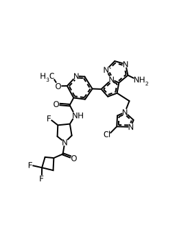 COc1ncc(-c2cc(Cn3cnc(Cl)c3)c3c(N)ncnn23)cc1C(=O)NC1CN(C(=O)C2CC(F)(F)C2)CC1F